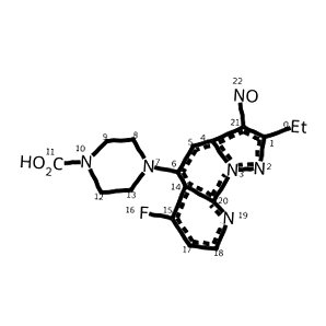 CCc1nn2c(cc(N3CCN(C(=O)O)CC3)c3c(F)ccnc32)c1N=O